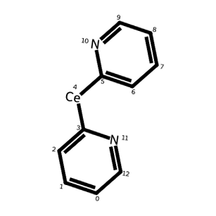 c1cc[c]([Ce][c]2ccccn2)nc1